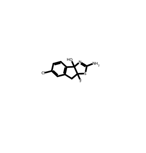 NC1=NC2(O)c3ccc(Cl)cc3CC2(F)S1